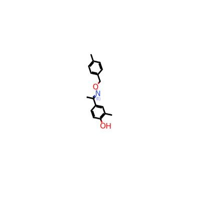 C/C(=N\OCc1ccc(C)cc1)c1ccc(O)c(C)c1